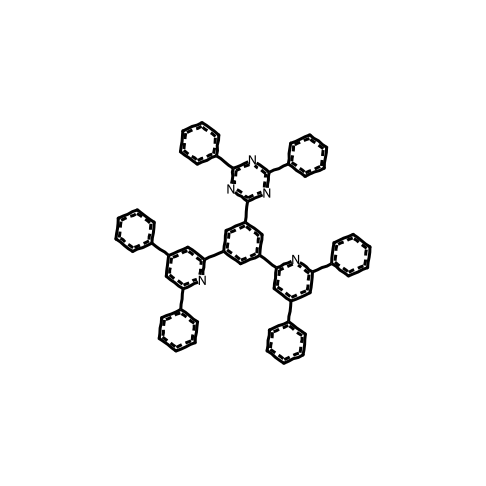 c1ccc(-c2cc(-c3ccccc3)nc(-c3cc(-c4cc(-c5ccccc5)cc(-c5ccccc5)n4)cc(-c4nc(-c5ccccc5)nc(-c5ccccc5)n4)c3)c2)cc1